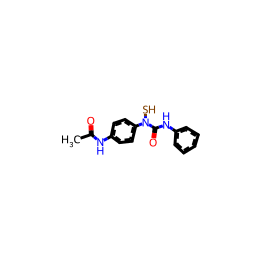 CC(=O)Nc1ccc(N(S)C(=O)Nc2ccccc2)cc1